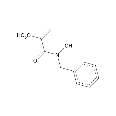 C=C(C(=O)O)C(=O)N(O)Cc1ccccc1